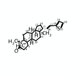 CN1C(=O)CC[C@@]2(C)C1CC[C@H]1[C@@H]3CC[C@H](/C=C/c4cccs4)[C@@]3(C)CC[C@@H]12